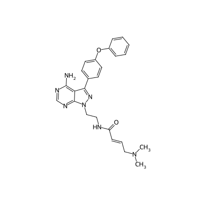 CN(C)C/C=C/C(=O)NCCn1nc(-c2ccc(Oc3ccccc3)cc2)c2c(N)ncnc21